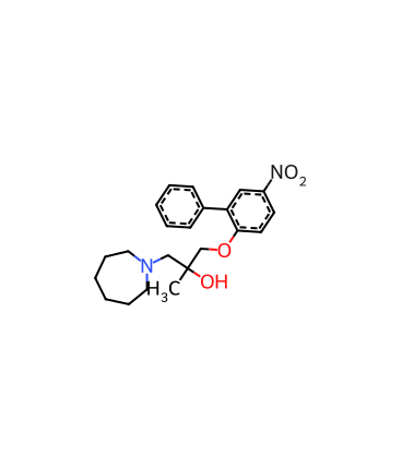 CC(O)(COc1ccc([N+](=O)[O-])cc1-c1ccccc1)CN1CCCCCC1